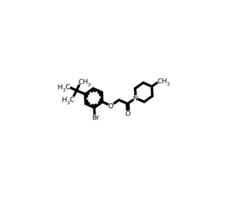 CC1CCN(C(=O)COc2ccc(C(C)(C)C)cc2Br)CC1